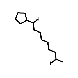 CC(I)CCCCCCC(I)C1CCCC1